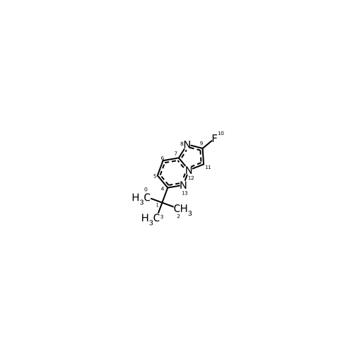 CC(C)(C)c1ccc2nc(F)cn2n1